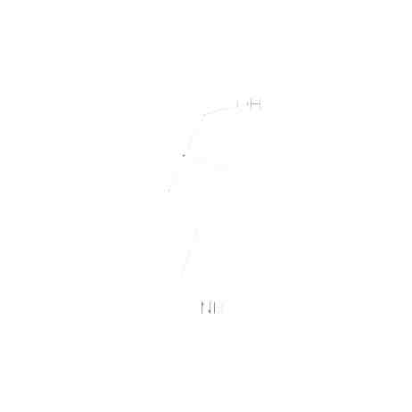 CC(C)(CO)CCC[NH]